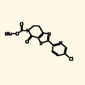 CC(C)(C)OC(=O)N1CCc2nc(-c3ccc(Cl)cn3)sc2C1=O